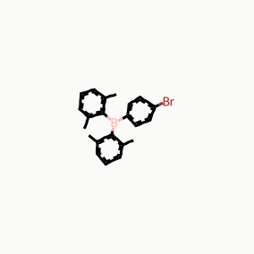 Cc1cccc(C)c1B(c1ccc(Br)cc1)c1c(C)cccc1C